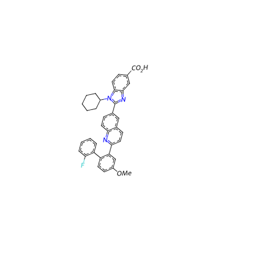 COc1ccc(-c2ccccc2F)c(-c2ccc3cc(-c4nc5cc(C(=O)O)ccc5n4C4CCCCC4)ccc3n2)c1